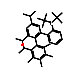 Cc1c(C)c(C)c(C(C)C)c(-c2c(-c3ccccc3P(C(C)(C)C)C(C)(C)C)cc(C(C)C)cc2C(C)C)c1C